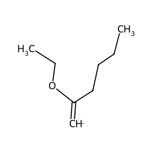 [CH]=C(CCCC)OCC